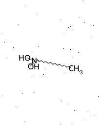 CCCCCCCCCCCCCC/C=C/N(CCO)CCO